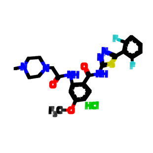 CN1CCN(CC(=O)Nc2cc(OC(F)(F)F)ccc2C(=O)Nc2nnc(-c3c(F)cccc3F)s2)CC1.Cl